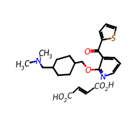 CN(C)CC1CCC(COc2ncccc2C(=O)c2cccs2)CC1.O=C(O)C=CC(=O)O